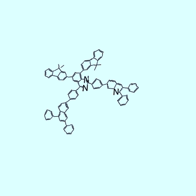 CC1(C)c2ccccc2-c2ccc(-c3cc(-c4ccc5c(c4)C(C)(C)c4ccccc4-5)c4nc(-c5ccc(-c6ccc7cc(-c8ccccc8)c(-c8ccccc8)nc7c6)cc5)nc(-c5ccc(-c6ccc7c(-c8ccccc8)cc(-c8ccccc8)cc7c6)cc5)c4c3)cc21